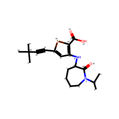 CC(C)N1CCCCC(Nc2cc(C#CC(C)(C)C)sc2C(=O)O)C1=O